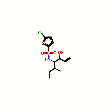 C=CC(O)[C@@H](NS(=O)(=O)c1ccc(Cl)s1)[C@@H](C)CC